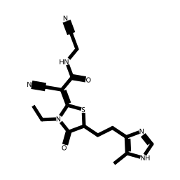 CCN1C(=O)C(CCc2nc[nH]c2C)S/C1=C(/C#N)C(=O)NCC#N